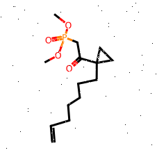 C=CCCCCCC1(C(=O)CP(=O)(OC)OC)CC1